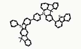 CC1(C)c2ccccc2-c2cc3c4cc(-c5ccc(N6c7ccc(-c8cccc9c8sc8ccccc89)cc7C7(C)c8ccccc8-c8cccc6c87)cc5)ccc4n(-c4ccccc4)c3cc21